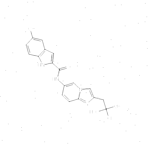 CC(C)(C)Cc1cn2cc(NC(=O)c3cc4cc(O)ccc4[nH]3)ccc2n1